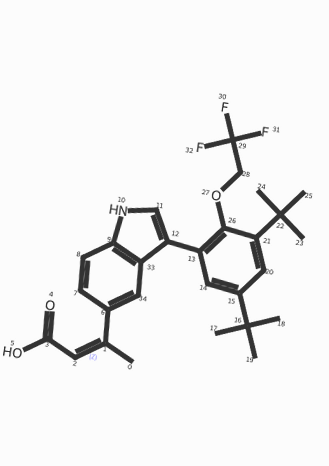 C/C(=C/C(=O)O)c1ccc2[nH]cc(-c3cc(C(C)(C)C)cc(C(C)(C)C)c3OCC(F)(F)F)c2c1